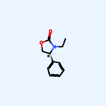 CCN1C(=O)OC[C@H]1c1ccccc1